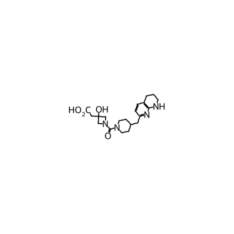 O=C(O)CC1(O)CN(C(=O)N2CCC(Cc3ccc4c(n3)NCCC4)CC2)C1